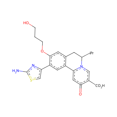 CC(C)C1Cc2cc(OCCCO)c(-c3csc(N)n3)cc2-c2cc(=O)c(C(=O)O)cn21